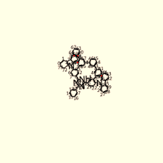 C1=Cc2c(n(-c3ccc(C4N=C(c5ccccc5)N=C(c5ccc(-n6c7ccccc7c7ccccc76)c(-c6cccc(-c7ccccc7)c6)c5)N4)cc3-c3cccc(-c4ccccc4)c3)c3ccccc23)CC1